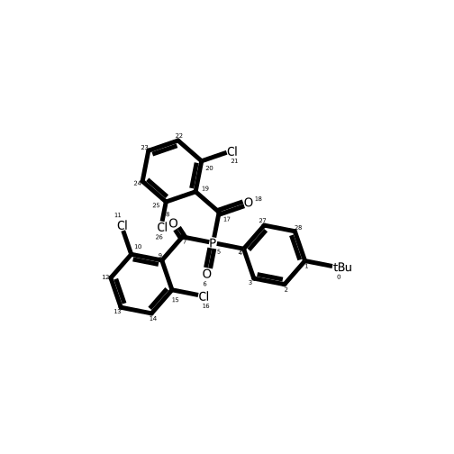 CC(C)(C)c1ccc(P(=O)(C(=O)c2c(Cl)cccc2Cl)C(=O)c2c(Cl)cccc2Cl)cc1